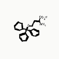 NC(CCSC(c1ccccc1)(c1ccccc1)c1ccccc1)C(=O)O